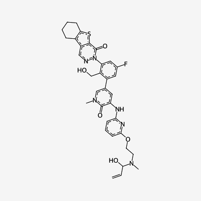 C=CC(O)N(C)CCOc1cccc(Nc2cc(-c3cc(F)cc(-n4ncc5c6c(sc5c4=O)CCCC6)c3CO)cn(C)c2=O)n1